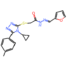 Cc1ccc(-c2nnc(SCC(=O)N/N=C/c3ccco3)n2C2CC2)cc1